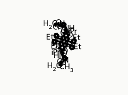 C=C(C)C(=O)Oc1cc(NC(=O)C(C(C)C)N2C(=O)c3cc(Oc4cccc(CC)c4)c4c5c(Oc6cccc(CC)c6)cc6c7c(cc(Oc8cccc(CC)c8)c(c8c(Oc9cccc(CC)c9)cc(c3c48)C2=O)c75)C(=O)N(C(C(=O)Nc2ccnc(OC(=O)C(=C)C)c2)C(C)C)C6=O)ccn1